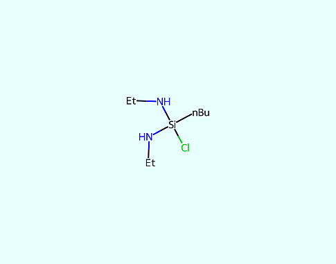 CCCC[Si](Cl)(NCC)NCC